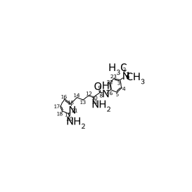 CN(C)c1ccc(NC(=O)C(N)CCCc2cccc(N)n2)cc1